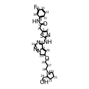 O=C(Cc1cnc(NC2=NC=NN3CC(OCCCN4CCC[C@H]4CO)C=C23)s1)Nc1cccc(F)c1